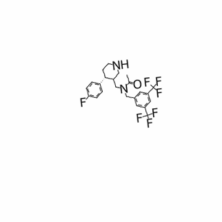 CC(=O)N(Cc1cc(C(F)(F)F)cc(C(F)(F)F)c1)CC1CNCC[C@H]1c1ccc(F)cc1